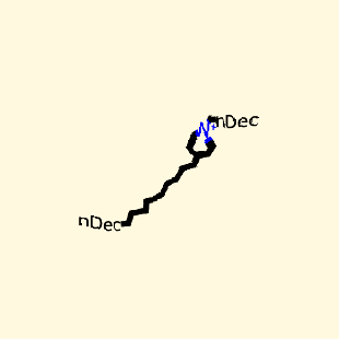 CCCCCCCCCCCCCCCCCCCc1cc[n+](CCCCCCCCCCC)cc1